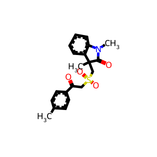 Cc1ccc(C(=O)CS(=O)(=O)CC2(C)C(=O)N(C)c3ccccc32)cc1